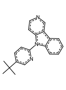 CC(C)(C)c1ccc(-n2c3ccccc3c3cnccc32)nc1